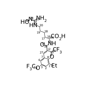 CCc1cc(OC(F)(F)F)cc2c1O[C@H](C(F)(F)F)C(C(=O)NC(CCCCN/C(N)=N\O)C(=O)O)=C2